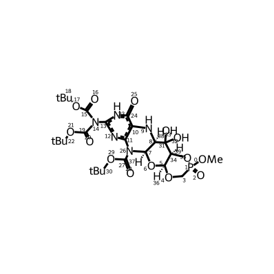 COP1(=O)CO[C@H]2O[C@@H]3[C@@H](Nc4c(nc(N(C(=O)OC(C)(C)C)C(=O)OC(C)(C)C)[nH]c4=O)N3C(=O)OC(C)(C)C)C(O)(O)[C@H]2O1